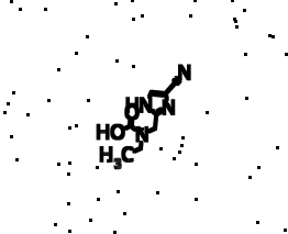 CCN(Cc1nc(C#N)c[nH]1)C(=O)O